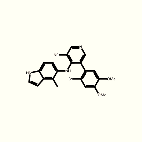 COc1cc(Br)c(-c2cncc(C#N)c2Nc2ccc3[nH]ccc3c2C)cc1OC